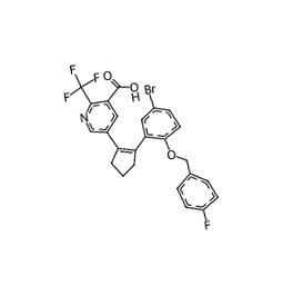 O=C(O)c1cc(C2=C(c3cc(Br)ccc3OCc3ccc(F)cc3)CCC2)cnc1C(F)(F)F